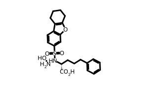 NO.O=C(O)[C@@H](CCCc1ccccc1)NS(=O)(=O)c1ccc2c3c(oc2c1)CCCC3